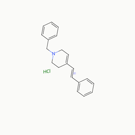 C1=C(/C=C/c2ccccc2)CCN(Cc2ccccc2)C1.Cl